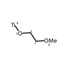 COCC[O][Ti]